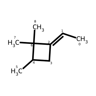 CC=C1CC(C)C1(C)C